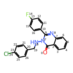 O=c1c2ccccc2nc(-c2ccc(F)cc2)n1NCc1ccc(Cl)cc1